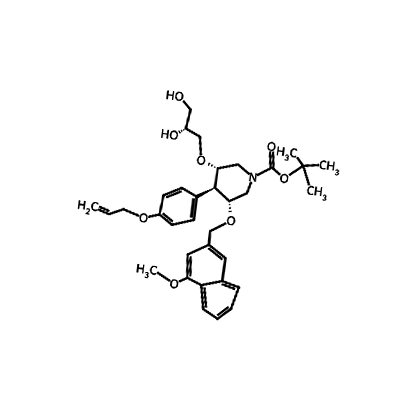 C=CCOc1ccc([C@@H]2[C@@H](OCc3cc(OC)c4ccccc4c3)CN(C(=O)OC(C)(C)C)C[C@H]2OC[C@H](O)CO)cc1